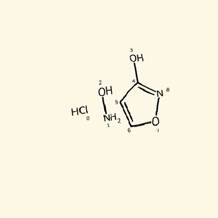 Cl.NO.Oc1ccon1